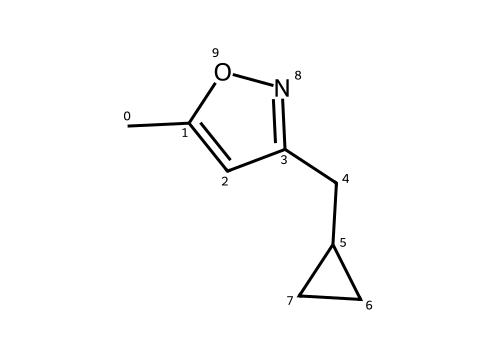 Cc1cc(CC2CC2)no1